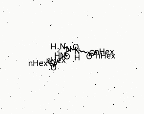 CCCCCCC(CCCCCC)COC(=O)CCCCCNC(=O)CCN(CCN)CCC(=O)NCCCCCC(=O)OCC(CCCCCC)CCCCCC